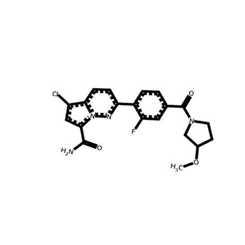 COC1CCN(C(=O)c2ccc(-c3ccc4c(Cl)cc(C(N)=O)n4n3)c(F)c2)C1